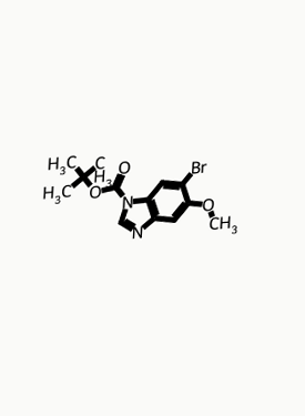 COc1cc2ncn(C(=O)OC(C)(C)C)c2cc1Br